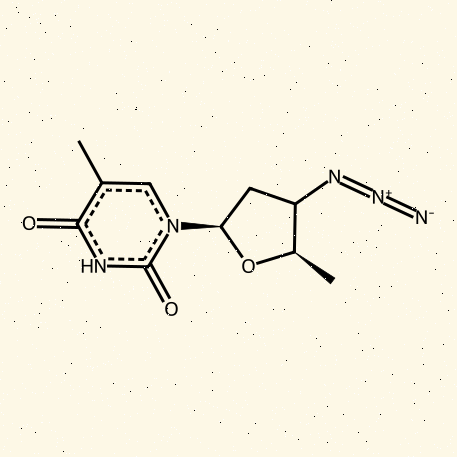 Cc1cn([C@H]2CC(N=[N+]=[N-])[C@@H](C)O2)c(=O)[nH]c1=O